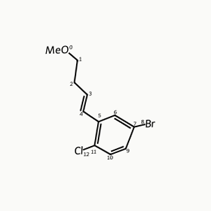 COCCC=Cc1cc(Br)ccc1Cl